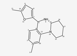 Cc1ccc(C(N)c2ccc(C)o2)c(N2CCCCC2)c1